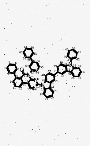 O=c1c2c(-c3ccccc3)cccc2c2cnc(-n3c4ccccc4c4cc(-c5ccc6c(c5)c5ccccc5n6-c5ccccc5)ccc43)nc2n1-c1cccc(-c2ccccc2)c1